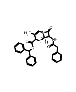 CC1=CN2C(=O)C(NC(=O)Cc3ccccc3)[C@H]2SC1C(=O)OC(c1ccccc1)c1ccccc1